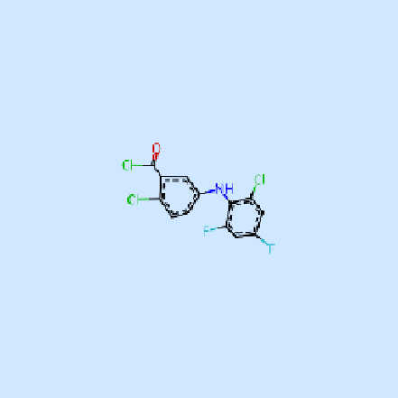 O=C(Cl)c1cc(Nc2c(F)cc(F)cc2Cl)ccc1Cl